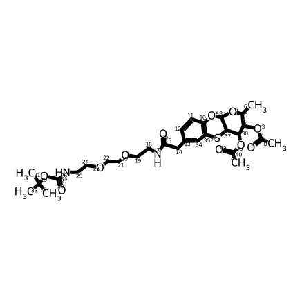 CC(=O)OC1C(C)OC2Oc3ccc(CC(=O)NCCOCCOCCNC(=O)OC(C)(C)C)cc3SC2C1OC(C)=O